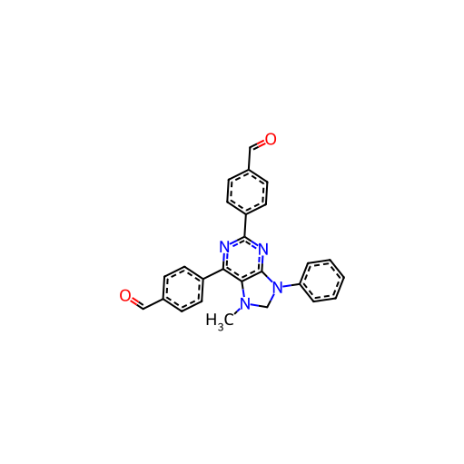 CN1CN(c2ccccc2)c2nc(-c3ccc(C=O)cc3)nc(-c3ccc(C=O)cc3)c21